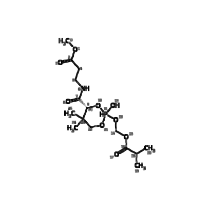 COC(=O)CCNC(=O)[C@@H]1O[PH](O)(OCOC(=O)C(C)C)OCC1(C)C